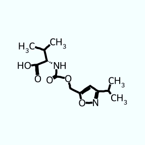 CC(C)c1cc(COC(=O)N[C@H](C(=O)O)C(C)C)on1